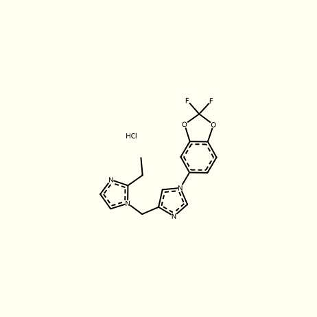 CCc1nccn1Cc1cn(-c2ccc3c(c2)OC(F)(F)O3)cn1.Cl